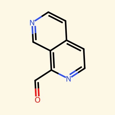 O=Cc1nccc2ccncc12